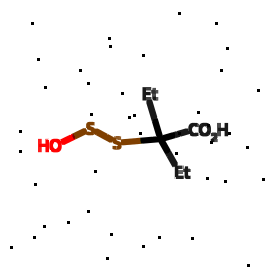 CCC(CC)(SSO)C(=O)O